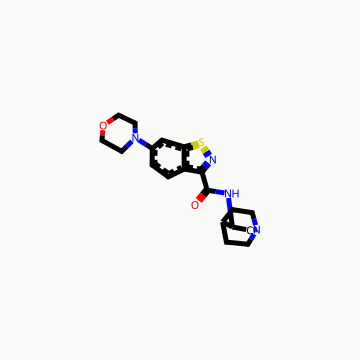 O=C(NC1CN2CCC1CC2)c1nsc2cc(N3CCOCC3)ccc12